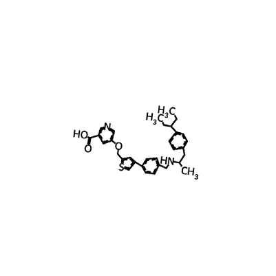 CCC(CC)c1ccc(CC(C)NCc2ccc(-c3csc(COc4cncc(C(=O)O)c4)c3)cc2)cc1